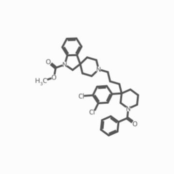 COC(=O)N1CC2(CCN(CCCC3(c4ccc(Cl)c(Cl)c4)CCCN(C(=O)c4ccccc4)C3)CC2)c2ccccc21